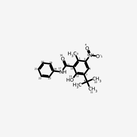 Cc1c([N+](=O)[O-])cc(C(C)(C)C)c(O)c1C(=O)Nc1ccccc1